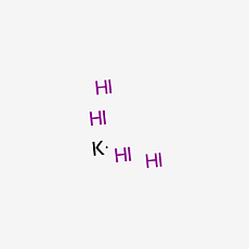 I.I.I.I.[K]